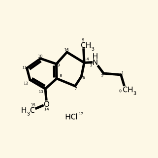 CCCNC1(C)CCc2c(cccc2OC)C1.Cl